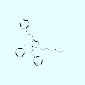 CCCCCCn1cc(CC(C)c2ccccc2)[n+](Cc2ccccc2)c1Cc1ccccc1